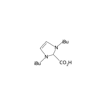 CCC(C)N1C=CN(C(C)CC)C1C(=O)O